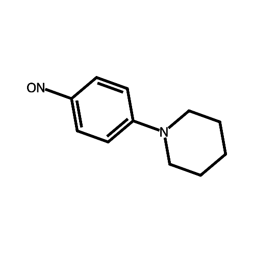 O=Nc1ccc(N2CCCCC2)cc1